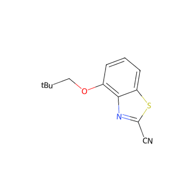 CC(C)(C)COc1cccc2sc(C#N)nc12